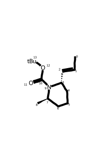 CC=C[C@@H]1CCC[C@@H](C)N1C(=O)OC(C)(C)C